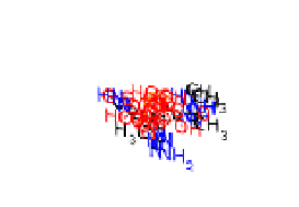 COC[C@H]1[C@@H](O)[C@H](n2c[n+](C)c3c(=O)[nH]c(NC(C)C)nc32)O[C@@H]1COP(=O)(O)OP(=O)(O)OP(=O)(O)OCC1O[C@@H](n2cnc3c(N)ncnc32)[C@H](OC)[C@@H]1P(=O)([O-])OC[C@H]1O[C@@H](n2ccc(=O)[nH]c2=O)[C@H](O)[C@@H]1O